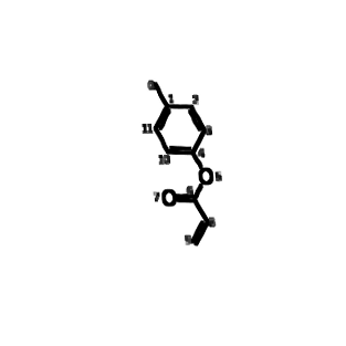 [CH2]c1ccc(OC(=O)C=C)cc1